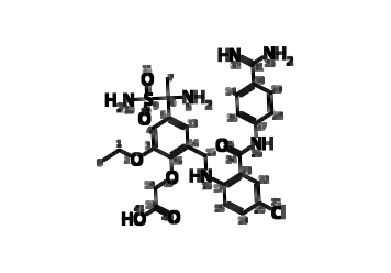 CCOc1cc(C(C)(N)S(N)(=O)=O)cc(CNc2ccc(Cl)cc2C(=O)Nc2ccc(C(=N)N)cc2)c1OCC(=O)O